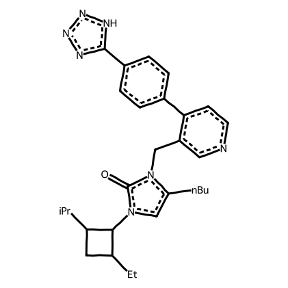 CCCCc1cn(C2C(CC)CC2C(C)C)c(=O)n1Cc1cnccc1-c1ccc(-c2nnn[nH]2)cc1